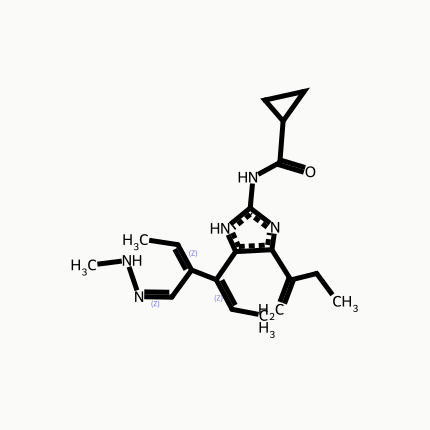 C=C(CC)c1nc(NC(=O)C2CC2)[nH]c1C(=C\C)/C(/C=N\NC)=C/C